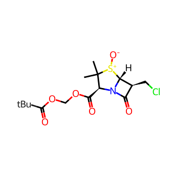 CC(C)(C)C(=O)OCOC(=O)[C@@H]1N2C(=O)[C@H](CCl)[C@H]2[S+]([O-])C1(C)C